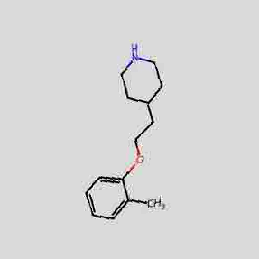 Cc1ccccc1OCCC1CCNCC1